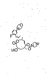 C/C(=C\c1cc(N2CCOCC2)ccc1F)[C@H]1OC(=O)C[C@H](O)CC[C@H](C)[C@H](OC(=O)N2CCN(C)CC2)/C=C/[C@@H]1C